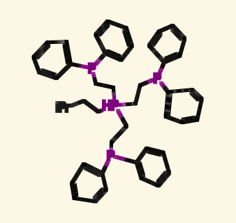 CC(C)CC[PH](CCP(c1ccccc1)c1ccccc1)(CCP(c1ccccc1)c1ccccc1)CCP(c1ccccc1)c1ccccc1